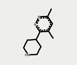 Cc1cc(C)c(C2CCNCC2)nn1